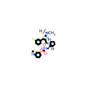 CN(C)c1nc(C(=O)N2[C@@H]3CC[C@@H](C3)[C@H]2CNC(=O)Oc2cccc3ncsc23)c(-c2cccc(F)c2)s1